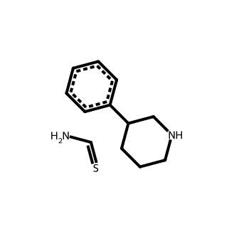 NC=S.c1ccc(C2CCCNC2)cc1